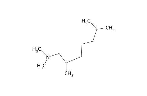 CC(C)CCCC(C)CN(C)C